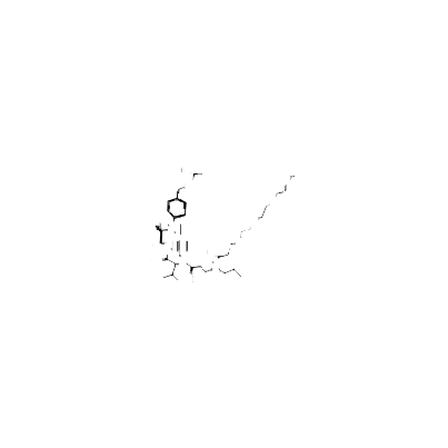 CCCN(CCC(=O)N[C@H](C(=O)N[C@@H](C)C(=O)Nc1ccc(COC(C)=O)cc1)C(C)C)C(=O)CCOCCOCCOCCOC